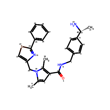 Cc1cc(C(=O)NCc2ccc([C@@H](C)N)cc2)c(C)n1Cc1csc(-c2ccccc2)n1